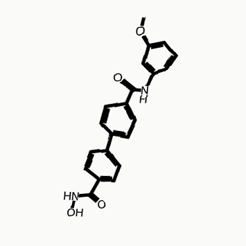 COc1cccc(NC(=O)c2ccc(-c3ccc(C(=O)NO)cc3)cc2)c1